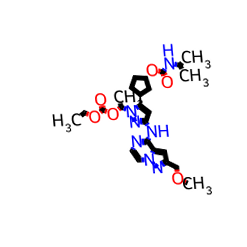 CCOC(=O)OC(C)n1nc(Nc2nccn3nc(COC)cc23)cc1[C@H]1CC[C@@H](OC(=O)NC(C)C)C1